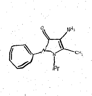 Cc1c(N)c(=O)n(-c2ccccc2)n1C(C)C